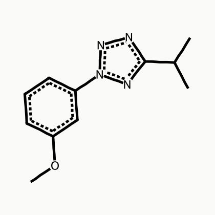 COc1cccc(-n2nnc(C(C)C)n2)c1